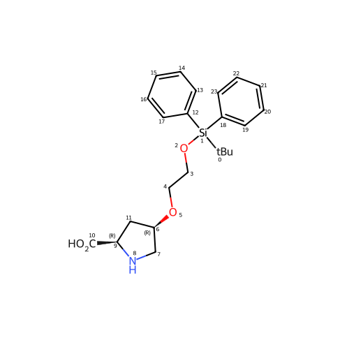 CC(C)(C)[Si](OCCO[C@H]1CN[C@@H](C(=O)O)C1)(c1ccccc1)c1ccccc1